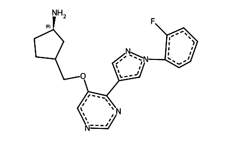 N[C@@H]1CCC(COc2cncnc2-c2cnn(-c3ccccc3F)c2)C1